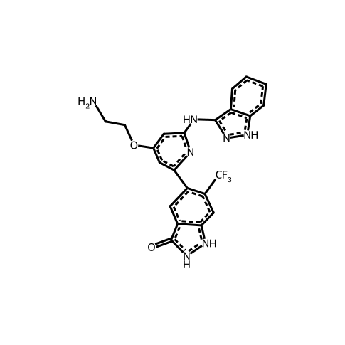 NCCOc1cc(Nc2n[nH]c3ccccc23)nc(-c2cc3c(=O)[nH][nH]c3cc2C(F)(F)F)c1